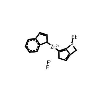 CCP1CC2=CC[C]([Zr+2][CH]3C=Cc4ccccc43)=C21.[F-].[F-]